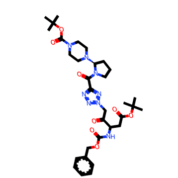 CC(C)(C)OC(=O)CC(NC(=O)OCc1ccccc1)C(=O)Cn1nnc(C(=O)N2CCC[C@@H]2N2CCN(C(=O)OC(C)(C)C)CC2)n1